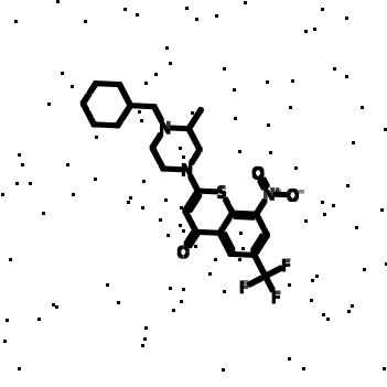 CC1CN(c2cc(=O)c3cc(C(F)(F)F)cc([N+](=O)[O-])c3s2)CCN1CC1CCCCC1